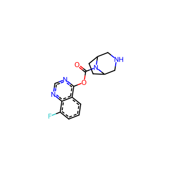 O=C(Oc1ncnc2c(F)cccc12)N1C2CCC1CNC2